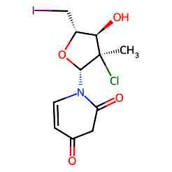 C[C@@]1(Cl)[C@H](O)[C@@H](CI)O[C@H]1N1C=CC(=O)CC1=O